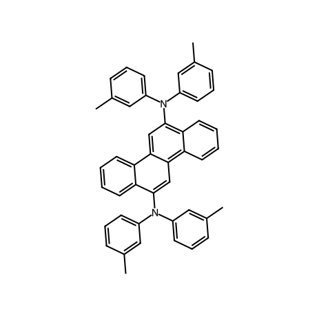 Cc1cccc(N(c2cccc(C)c2)c2cc3c4ccccc4c(N(c4cccc(C)c4)c4cccc(C)c4)cc3c3ccccc23)c1